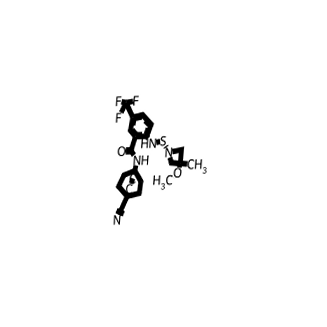 COC1(C)CN(SNc2ccc(C(F)(F)F)cc2C(=O)NC23CCC(C#N)(CC2)CC3)C1